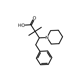 CC(C)(C(=O)O)C(Cc1ccccc1)N1CCCCC1